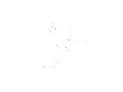 C[C@@H]1CC[C@H](CCc2cc(N(COCC[Si](C)(C)C)COCC[Si](C)(C)C)n3ncc(-c4ccc(C(O)CO)nc4)c3n2)N1C(=O)OC(C)(C)C